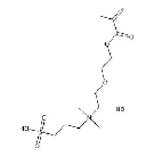 C=C(C)C(=O)OCCOCC[N+](C)(C)CCCS(=O)(=O)O.[OH-]